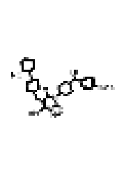 CCCc1c(Cc2ccc(-c3ccccc3C#N)cc2)c(=O)n(C2CCC(C(O)c3ccc(OC)cc3)CC2)c2ncnn12